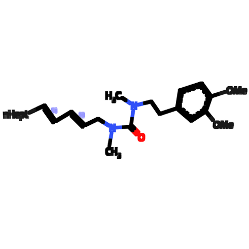 CCCCCCC/C=C/C=C/CN(C)C(=O)N(C)CCc1ccc(OC)c(OC)c1